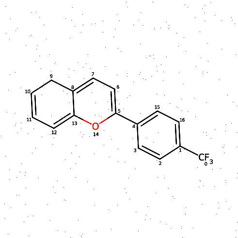 FC(F)(F)c1ccc(C2=CC=C3CC=CC=C3O2)cc1